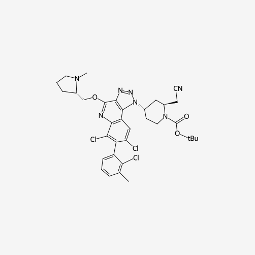 Cc1cccc(-c2c(Cl)cc3c(nc(OC[C@@H]4CCCN4C)c4nnn([C@H]5CCN(C(=O)OC(C)(C)C)[C@H](CC#N)C5)c43)c2Cl)c1Cl